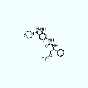 COC[C@@H](NC(=O)Nc1cc2[nH]nc(N3CCOCC3)c2cn1)c1ccccc1